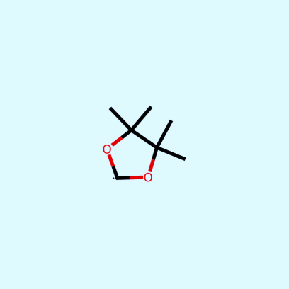 CC1(C)O[CH]OC1(C)C